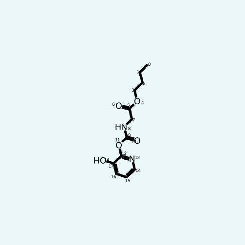 CCCCOC(=O)CNC(=O)Oc1ncccc1O